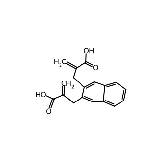 C=C(Cc1cc2ccccc2cc1CC(=C)C(=O)O)C(=O)O